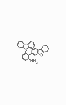 Nc1cccc(-n2c3ccccc3c3ccccc32)c1-c1ccc2c3c(oc2c1)CCCC3